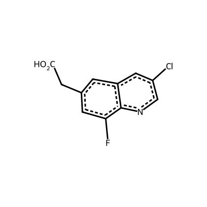 O=C(O)Cc1cc(F)c2ncc(Cl)cc2c1